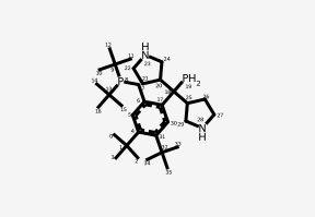 CC(C)(C)c1cc(CP(C(C)(C)C)C(C)(C)C)c(C(P)(C2CCNC2)C2CCNC2)cc1C(C)(C)C